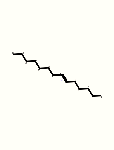 CCCCC/C=C/CCCCCCC